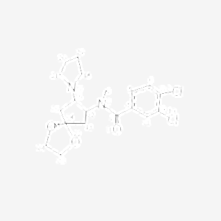 CN(C(=O)c1ccc(Cl)c(Cl)c1)C1CC2(CC1N1CCCC1)OCCO2